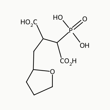 O=C(O)C(CC1CCCO1)C(C(=O)O)P(=O)(O)O